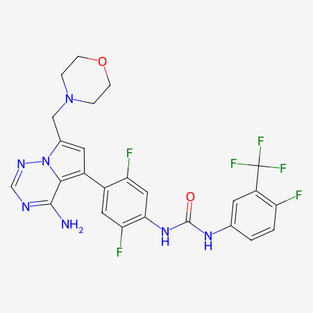 Nc1ncnn2c(CN3CCOCC3)cc(-c3cc(F)c(NC(=O)Nc4ccc(F)c(C(F)(F)F)c4)cc3F)c12